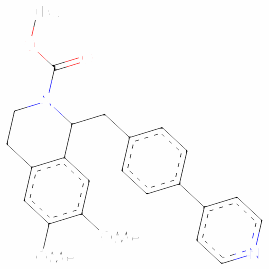 COc1cc2c(cc1OC)C(Cc1ccc(-c3ccncc3)cc1)N(C(=O)OC(C)(C)C)CC2